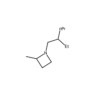 CCCC(CC)CN1CCC1C